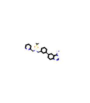 CNc1ncnc2ccc(-c3cccc(CN(Cc4ccccn4)S(=O)(=O)C(C)C)c3)cc12